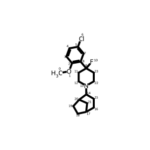 COc1ccc(Cl)cc1C1(F)CCN(C2CCC3CCC2C3)CC1